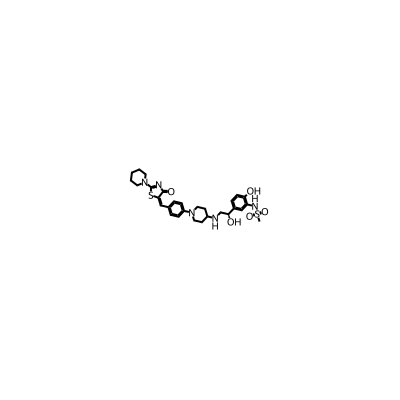 CS(=O)(=O)Nc1cc([C@@H](O)CNC2CCN(c3ccc(C=C4SC(N5CCCCC5)=NC4=O)cc3)CC2)ccc1O